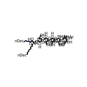 CCCCCCCCCCCCC/C=C/[C@@H](O)[C@H](CO[C@@H]1OC(CO)[C@@H](O[C@@H]2OC(CO)[C@H](O)[C@H](O[C@H]3OC(CO)[C@H](O)[C@H](O[C@@H]4OC(CO)[C@H](O)[C@H](O[C@H]5OC(CO)[C@H](O)[C@H](O)C5NC(C)=O)C4NC(C)=O)C3O)C2O)[C@H](O)C1O)NC(=O)CCCCCCCCCCCCCCCCC